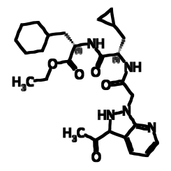 CCOC(=O)[C@H](CC1CCCCC1)NC(=O)[C@H](CC1CC1)NC(=O)CN1NC(C(C)=O)c2cccnc21